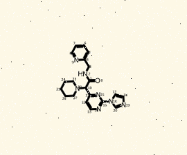 O=C(NCc1ccccn1)C(c1ccnc(-n2ccnc2)n1)N1CCCCC1